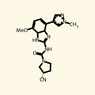 COC1=CC=C(c2cnn(C)c2)C2N=C(NC(=O)N3CC[C@H](C#N)C3)NC12